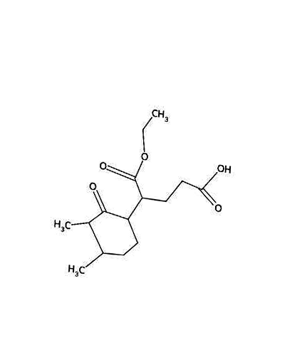 CCOC(=O)C(CCC(=O)O)C1CCC(C)C(C)C1=O